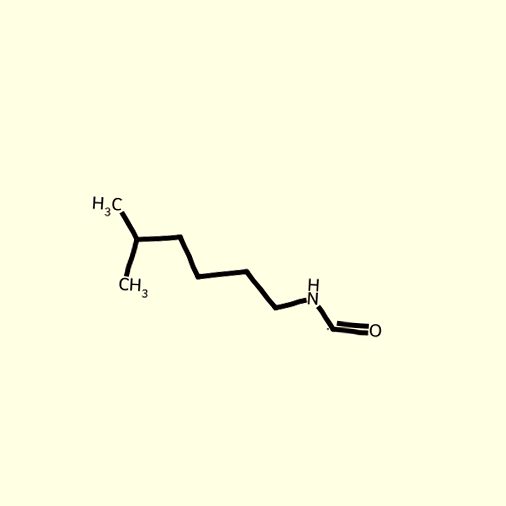 CC(C)CCCCN[C]=O